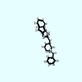 C1=CCC2=c3nc(CC4CCCN(Cc5ccccc5)C4)sc3=CC2=C1